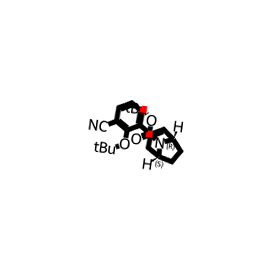 CC(C)(C)OC(=O)N1[C@H]2CC[C@@H]1C=C(c1cccc(C#N)c1OC(C)(C)C)C2